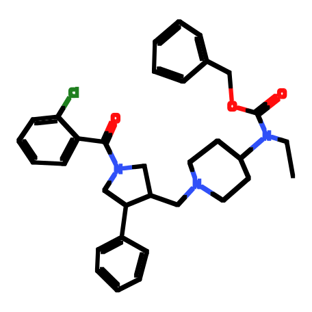 CCN(C(=O)OCc1ccccc1)C1CCN(CC2CN(C(=O)c3ccccc3Cl)CC2c2ccccc2)CC1